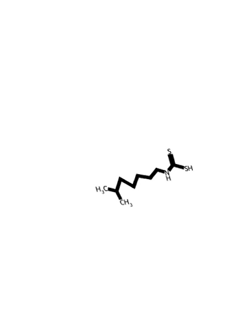 CC(C)CCCCCNC(=S)S